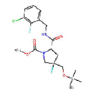 CC(C)(C)OC(=O)N1C[C@@](F)(CO[Si](C)(C)C(C)(C)C)C[C@H]1C(=O)NCc1cccc(Cl)c1F